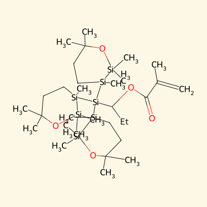 C=C(C)C(=O)OC(CC)[Si]([Si]1(C)CCC(C)(C)O[Si]1(C)C)([Si]1(C)CCC(C)(C)O[Si]1(C)C)[Si]1(C)CCC(C)(C)O[Si]1(C)C